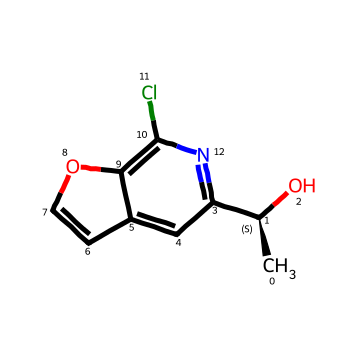 C[C@H](O)c1cc2ccoc2c(Cl)n1